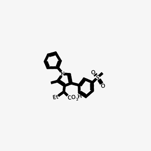 CCC(C(=O)O)c1c(-c2cccc(S(C)(=O)=O)c2)cn(-c2ccccc2)c1C